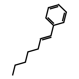 CCCCC[C]=Cc1cc[c]cc1